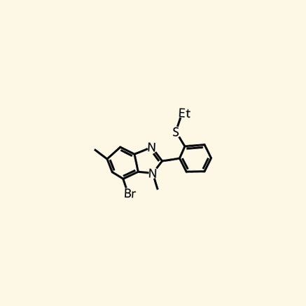 CCSc1ccccc1-c1nc2cc(C)cc(Br)c2n1C